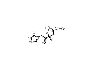 CC(C)(C[C@H](N)[C]=O)C(=O)Cn1ccnc1